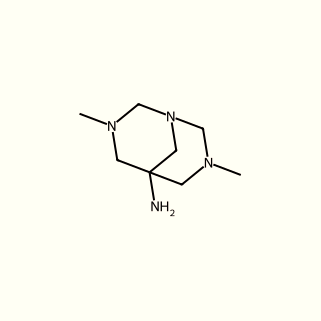 CN1CN2CN(C)CC(N)(C1)C2